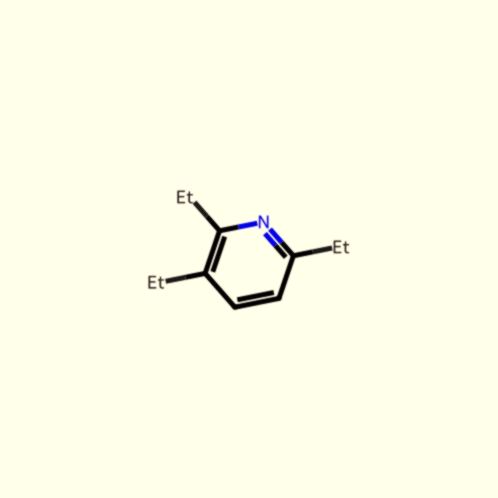 CCc1ccc(CC)c(CC)n1